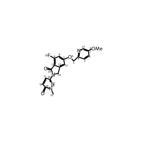 COc1ccc(COc2cc(F)c3c(c2)CN(c2ccc(=O)n(C)n2)C3=O)nc1